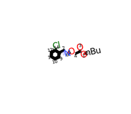 CCCCOC(=O)CO/N=C/c1c[c]ccc1Cl